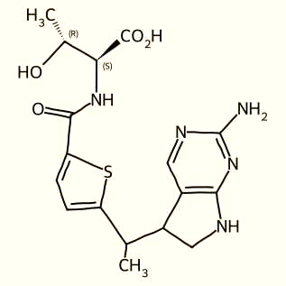 CC(c1ccc(C(=O)N[C@H](C(=O)O)[C@@H](C)O)s1)C1CNc2nc(N)ncc21